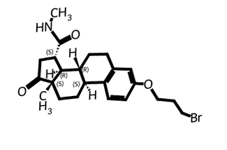 CNC(=O)[C@H]1CC(=O)[C@@]2(C)CC[C@@H]3c4ccc(OCCCBr)cc4CC[C@H]3[C@H]12